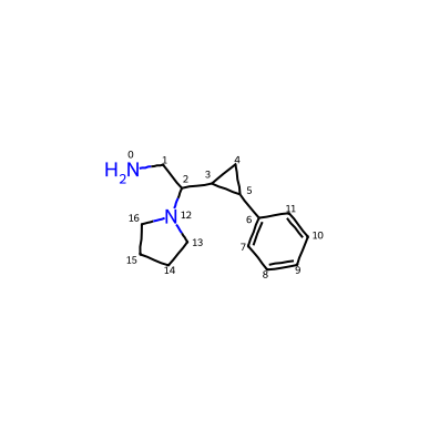 NCC(C1CC1c1ccccc1)N1CCCC1